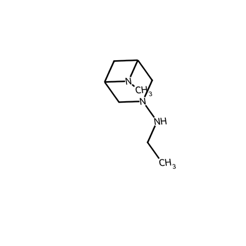 CCNN1CC2CC(C1)N2C